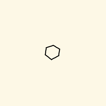 [CH]1C[CH]C[CH]C1